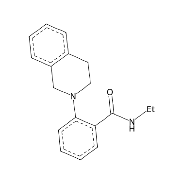 CCNC(=O)c1ccccc1N1CCc2ccccc2C1